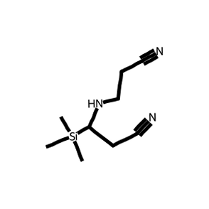 C[Si](C)(C)C(CC#N)NCCC#N